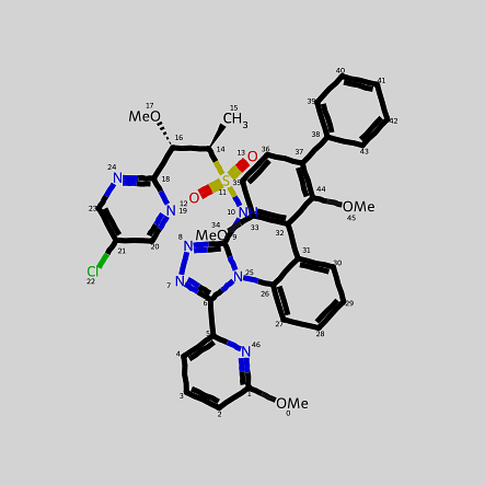 COc1cccc(-c2nnc(NS(=O)(=O)[C@H](C)[C@@H](OC)c3ncc(Cl)cn3)n2-c2ccccc2-c2c(OC)ccc(-c3ccccc3)c2OC)n1